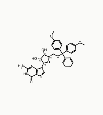 COc1ccc(C(OC[C@H]2O[C@@H](n3cnc4c(=O)[nH]c(N)nc43)[C@H](O)[C@@H]2O)(c2ccccc2)c2ccc(OC)cc2)cc1